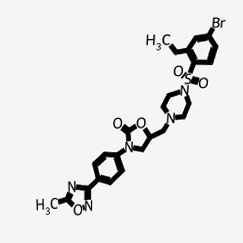 CCc1cc(Br)ccc1S(=O)(=O)N1CCN(CC2CN(c3ccc(-c4noc(C)n4)cc3)C(=O)O2)CC1